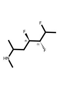 CNC(C)C[C@@H](F)[C@@H](F)C(C)F